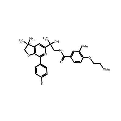 COCCOc1ccc(C(=O)NCC(O)(c2cc3c(c(-c4ccc(F)cc4)n2)OC[C@@]3(N)C(F)(F)F)C(F)(F)F)cc1OC